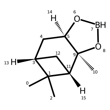 CC1(C)[C@@H]2C[C@H]3OBO[C@@]3(C)[C@H]1C2